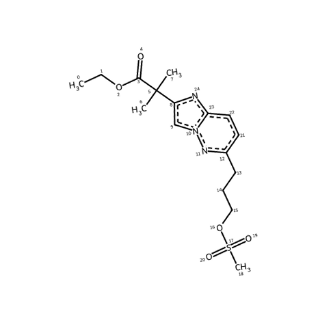 CCOC(=O)C(C)(C)c1cn2nc(CCCOS(C)(=O)=O)ccc2n1